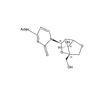 CC(=O)Nc1ccn([C@H]2CC3OC[C@](CO)(O2)[C@H]3O)c(=O)n1